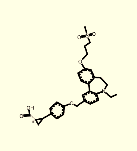 CCN1CCc2cc(OCCCS(C)(=O)=O)ccc2-c2cc(COc3ccc(C4C[C@@H]4C(=O)O)cc3)ccc21